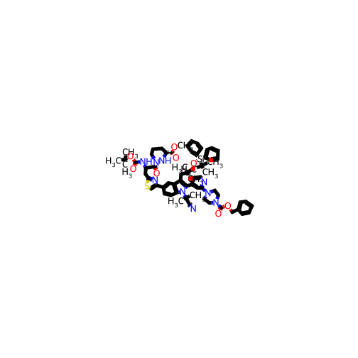 COC(=O)[C@@H]1CCCN(C(=O)C(Cc2nc(-c3ccc4c(c3)c(CC(C)(C)CO[Si](c3ccccc3)(c3ccccc3)C(C)(C)C)c(-c3ccnc(N5CCN(C(=O)OCc6ccccc6)CC5)c3)n4C(C)(C)C#N)cs2)NC(=O)OC(C)(C)C)N1